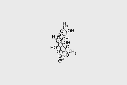 CC1OC2CS(=O)OC2C2=C1C(=O)c1c(O)c3c(c(O)c1C2=O)C1CC(OC2CCC(O)C(C)O2)C3(O)C(C)O1